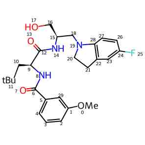 COc1cccc(C(=O)N[C@@H](CC(C)(C)C)C(=O)N[C@@H](CO)CN2CCc3cc(F)ccc32)c1